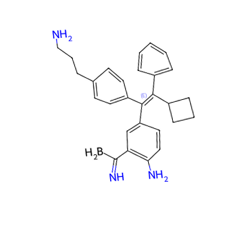 BC(=N)c1cc(/C(=C(/c2ccccc2)C2CCC2)c2ccc(CCCN)cc2)ccc1N